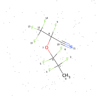 CC(F)(F)C(F)(F)OC(F)(C#N)C(F)(F)F